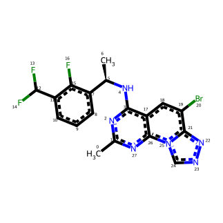 Cc1nc(N[C@H](C)c2cccc(C(F)F)c2F)c2cc(Br)c3nncn3c2n1